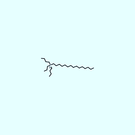 CCCCCCCCCCCCCCC[PH](CCC)(CCCC)CCCC